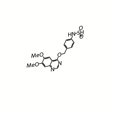 COc1cc2ncnc(OCc3ccc(N[SH](=O)=O)cc3)c2cc1OC